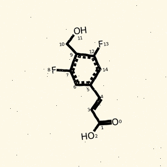 O=C(O)C=Cc1cc(F)c(CO)c(F)c1